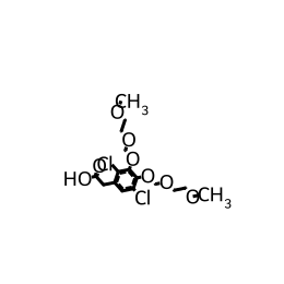 COCCOCOc1c(Cl)cc(CC(=O)O)c(Cl)c1OCOCCOC